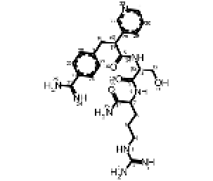 N=C(N)NCCCC(NC(=O)[C@H](CO)NC(=O)[C@@H](Cc1ccc(C(=N)N)cc1)c1cccnc1)C(N)=O